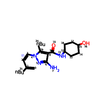 C=C(/C=C\n1nc(N)c(C(=O)NC2CCC(O)CC2)c1CCCC)CCCC